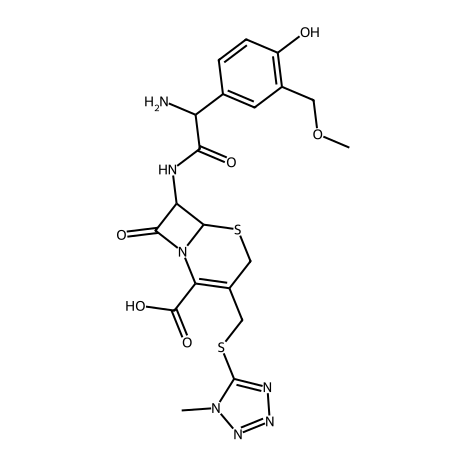 COCc1cc(C(N)C(=O)NC2C(=O)N3C(C(=O)O)=C(CSc4nnnn4C)CSC23)ccc1O